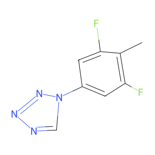 Cc1c(F)cc(-n2cnnn2)cc1F